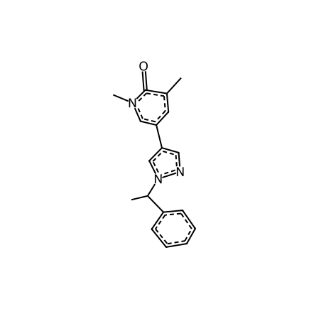 Cc1cc(-c2cnn(C(C)c3ccccc3)c2)cn(C)c1=O